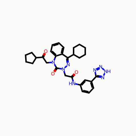 O=C(CN1N=C(C2CCCCC2)c2ccccc2N(CC(=O)C2CCCC2)C1=O)Nc1cccc(-c2nn[nH]n2)c1